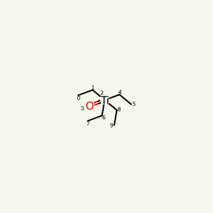 C[CH2][Ti](=[O])([CH2]C)([CH2]C)[CH2]C